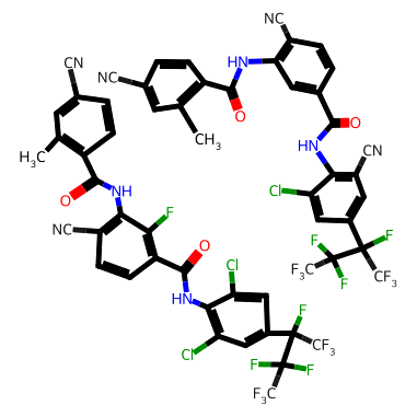 Cc1cc(C#N)ccc1C(=O)Nc1c(C#N)ccc(C(=O)Nc2c(Cl)cc(C(F)(C(F)(F)F)C(F)(F)C(F)(F)F)cc2Cl)c1F.Cc1cc(C#N)ccc1C(=O)Nc1cc(C(=O)Nc2c(Cl)cc(C(F)(C(F)(F)F)C(F)(F)C(F)(F)F)cc2C#N)ccc1C#N